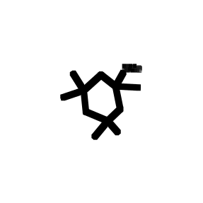 CNC1(C)CC(C)(C)CC(C)(C)C1